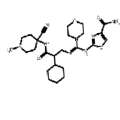 CN1CCC(C#N)(NC(=O)C(CN=C(Nc2nc(C(N)=O)co2)N2CCOCC2)C2CCCCC2)CC1